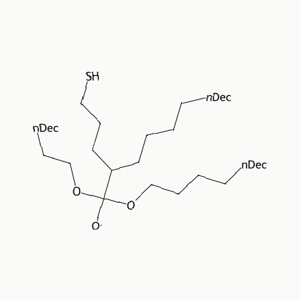 CCCCCCCCCCCCCCOC([O])(OCCCCCCCCCCCC)C(CCCS)CCCCCCCCCCCCCC